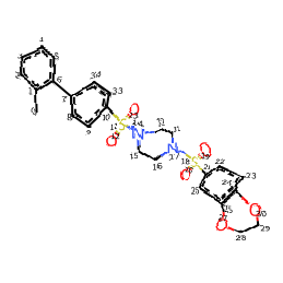 Cc1ccccc1-c1ccc(S(=O)(=O)N2CCN(S(=O)(=O)c3ccc4c(c3)OCCO4)CC2)cc1